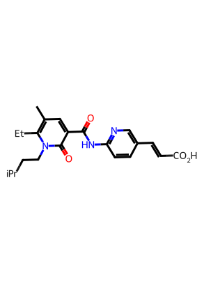 CCc1c(C)cc(C(=O)Nc2ccc(/C=C/C(=O)O)cn2)c(=O)n1CCC(C)C